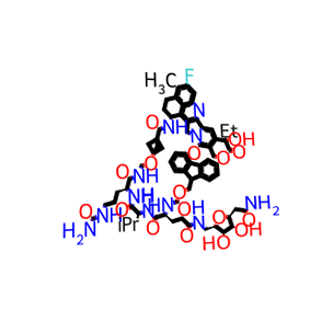 CC[C@@]1(O)C(=O)OCc2c1cc1n(c2=O)Cc2c-1nc1cc(F)c(C)c3c1c2[C@@H](NC(=O)C12CC(OCNC(=O)[C@H](CCCNC(N)=O)NC(=O)[C@@H](NC(=O)[C@H](CCC(=O)NC[C@H]4O[C@@H](CC(N)=O)[C@H](O)[C@@H]4O)NC(=O)OCC4c5ccccc5-c5ccccc54)C(C)C)(C1)C2)CC3